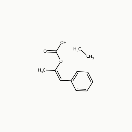 CC(=Cc1ccccc1)OC(=O)O.[CH2]C